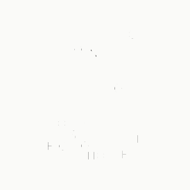 O=S(=O)(c1ccc(Oc2cc(Cl)c[n+]([O-])c2)c2c1C(O)C(F)(F)C2)C(F)(F)F